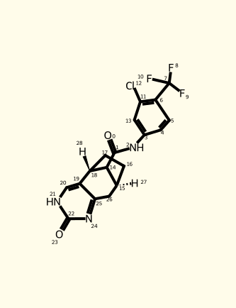 O=C(Nc1ccc(C(F)(F)F)c(Cl)c1)C1[C@H]2CC[C@H]1c1c[nH]c(=O)nc1C2